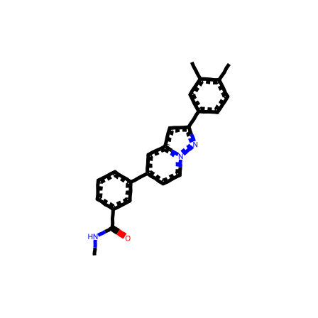 CNC(=O)c1cccc(-c2ccn3nc(-c4ccc(C)c(C)c4)cc3c2)c1